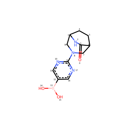 O=C1NC2CCC1CN(c1ncc(B(O)O)cn1)C2